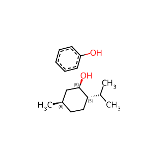 CC(C)[C@@H]1CC[C@@H](C)C[C@H]1O.Oc1ccccc1